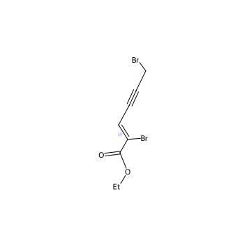 CCOC(=O)/C(Br)=C/C#CCBr